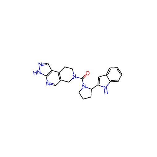 O=C(N1CCc2c(cnc3[nH]ncc23)C1)N1CCCC1c1cc2ccccc2[nH]1